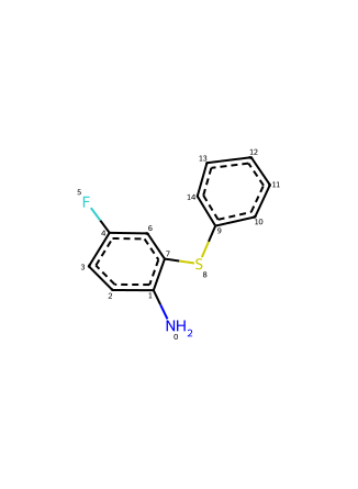 Nc1ccc(F)cc1Sc1ccccc1